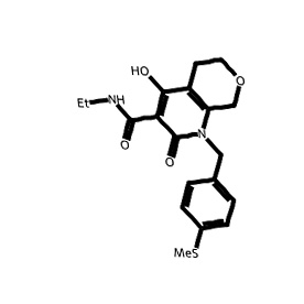 CCNC(=O)c1c(O)c2c(n(Cc3ccc(SC)cc3)c1=O)COCC2